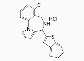 Cl.Clc1cccc2c1CNC(c1cc3ccccc3s1)c1cccn1-2